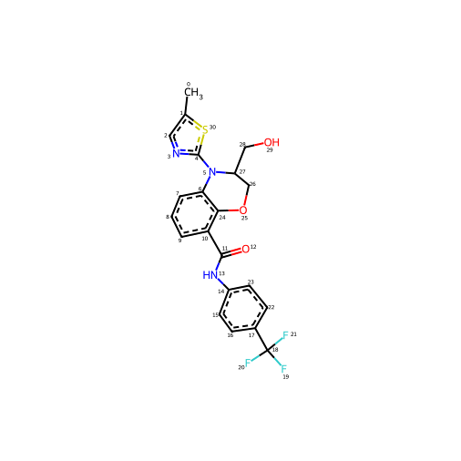 Cc1cnc(N2c3cccc(C(=O)Nc4ccc(C(F)(F)F)cc4)c3OCC2CO)s1